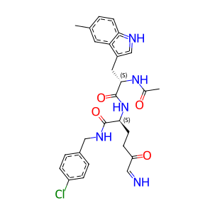 CC(=O)N[C@@H](Cc1c[nH]c2ccc(C)cc12)C(=O)N[C@@H](CCC(=O)C=N)C(=O)NCc1ccc(Cl)cc1